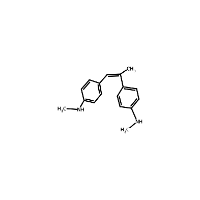 CNc1ccc(C=C(C)c2ccc(NC)cc2)cc1